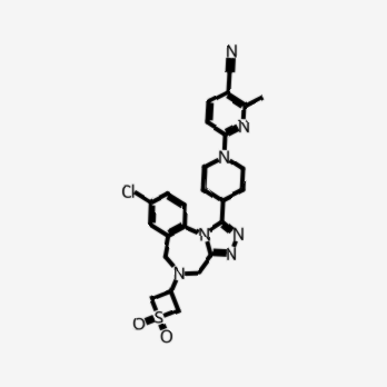 Cc1nc(N2CCC(c3nnc4n3-c3ccc(Cl)cc3CN(C3CS(=O)(=O)C3)C4)CC2)ccc1C#N